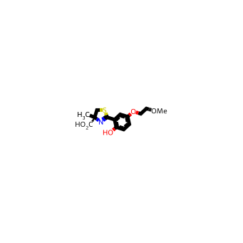 COCCOc1ccc(O)c(C2=N[C@@](C)(C(=O)O)CS2)c1